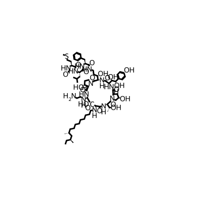 CC[C@H](C)C[C@H](C)CCCCCCCCC(=O)N[C@H]1C[C@@H](O)[C@@H](NCCN)NC(=O)[C@@H]2[C@@H](O)CCN2C(=O)[C@H]([C@H](O)CCNC(=O)[C@H](Cc2ccccc2)NC(=O)[C@H](CC(C)C)NC(=O)[C@H](CCSC)NC=O)NC(=O)[C@H]([C@H](O)[C@@H](O)c2ccc(O)cc2)NC(=O)[C@@H]2C[C@@H](O)CN2C(=O)[C@H]([C@@H](C)O)NC1=O